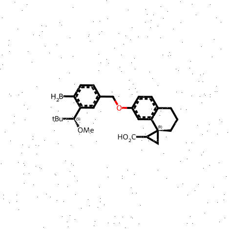 Bc1ccc(COc2ccc3c(c2)[C@]2(CCC3)CC2C(=O)O)cc1[C@@H](OC)C(C)(C)C